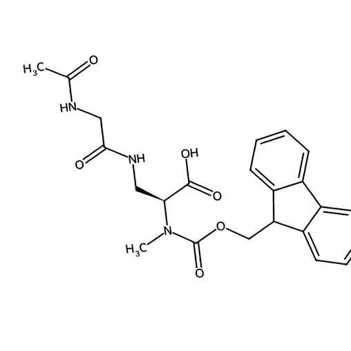 CC(=O)NCC(=O)NC[C@@H](C(=O)O)N(C)C(=O)OCC1c2ccccc2-c2ccccc21